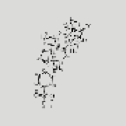 C[C@H]1C[C@H]2N(C)C(=O)CC[C@]2(C)[C@H]2CC[C@]3(C)C(c4ccc(S(C)(=O)=O)cc4)=CC[C@H]3[C@H]12